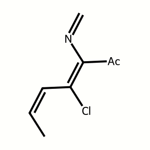 C=N/C(C(C)=O)=C(Cl)\C=C/C